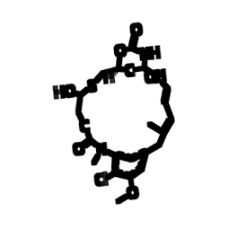 COc1cc2cc(c1Cl)N(C)C(=O)CCC(O)SC[C@@H]1C[C@](O)(C/C=C/C=C(\C)C2)NC(=O)O1